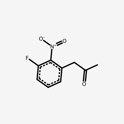 CC(=O)Cc1cccc(F)c1[N+](=O)[O-]